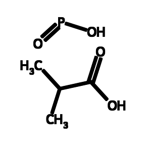 CC(C)C(=O)O.O=PO